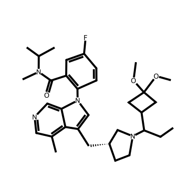 CCC(C1CC(OC)(OC)C1)N1CC[C@H](Cc2cn(-c3ccc(F)cc3C(=O)N(C)C(C)C)c3cncc(C)c23)C1